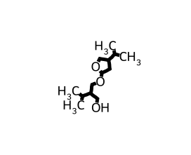 CC(C)C(CO)COC1CC(C(C)C)CO1